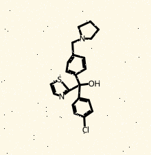 OC(c1ccc(Cl)cc1)(c1ccc(CN2CCCC2)cc1)c1nccs1